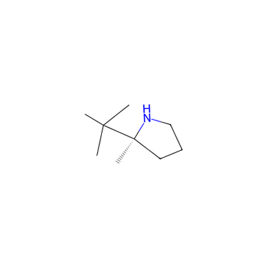 CC(C)(C)[C@]1(C)CCCN1